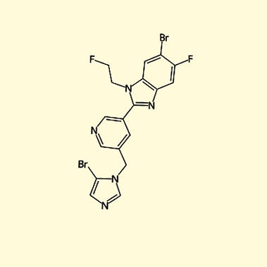 FCCn1c(-c2cncc(Cn3cncc3Br)c2)nc2cc(F)c(Br)cc21